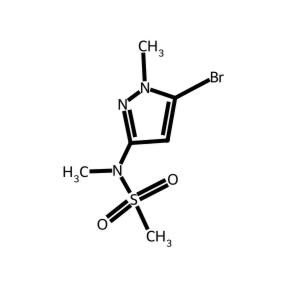 CN(c1cc(Br)n(C)n1)S(C)(=O)=O